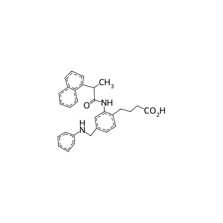 CC(C(=O)Nc1cc(CNc2ccccc2)ccc1CCCC(=O)O)c1cccc2ccccc12